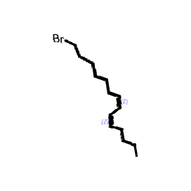 CCCC/C=C\C=C/CCCCCCBr